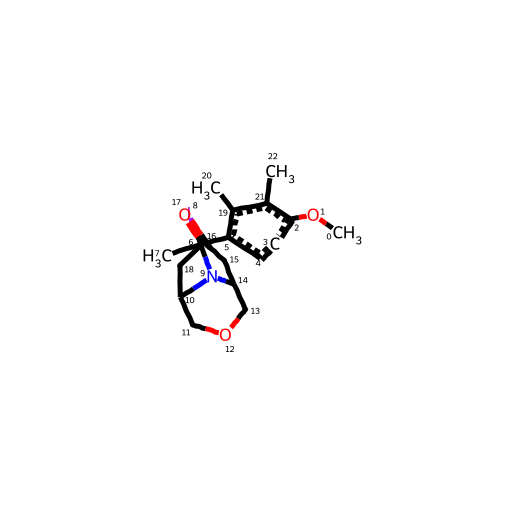 COc1ccc(C(C)(I)N2C3COCC2CC(=O)C3)c(C)c1C